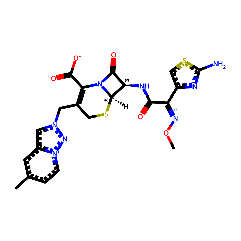 CO/N=C(\C(=O)N[C@@H]1C(=O)N2C(C(=O)[O-])=C(Cn3cc4cc(C)cc[n+]4n3)CS[C@H]12)c1csc(N)n1